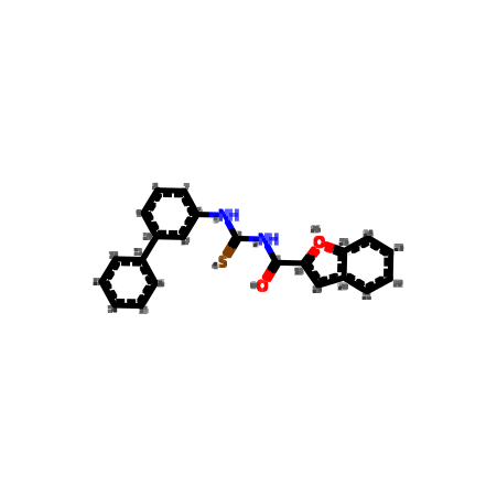 O=C(NC(=S)Nc1cccc(-c2ccccc2)c1)c1cc2ccccc2o1